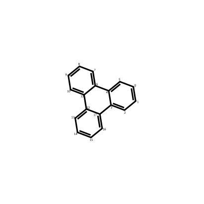 [c]1ccc2c(c1)c1cc[c]cc1c1ccccc21